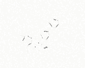 C#CCC(O)(c1ccc(F)cc1F)C(F)(F)c1ccc(-c2ccc(C)cc2)cn1